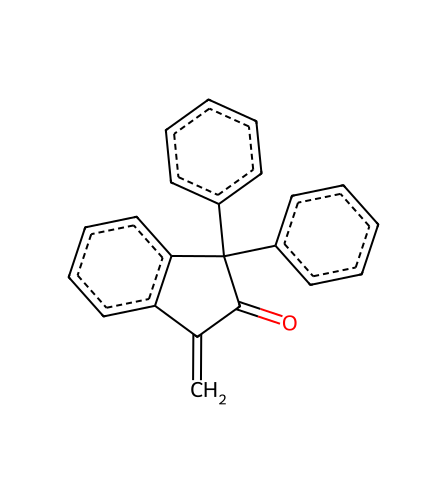 C=C1C(=O)C(c2ccccc2)(c2ccccc2)c2ccccc21